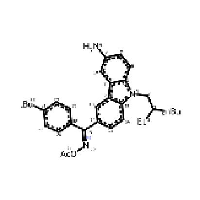 CCCCC(CC)Cn1c2ccc(N)cc2c2cc(/C(=N/OC(C)=O)c3ccc(C(C)(C)C)cc3)ccc21